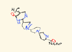 CNC(=O)c1ccc(N2CCC(N3CCC(c4ncc(C)c(=O)[nH]4)C3)CC2)cn1